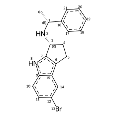 C[C@@H](N[C@@H]1CCc2c1[nH]c1ccc(Br)cc21)c1ccccc1